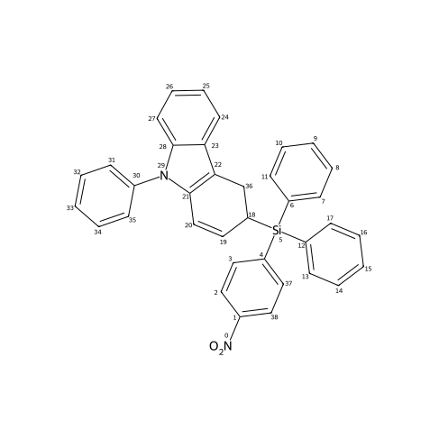 O=[N+]([O-])c1ccc([Si](c2ccccc2)(c2ccccc2)C2C=Cc3c(c4ccccc4n3-c3ccccc3)C2)cc1